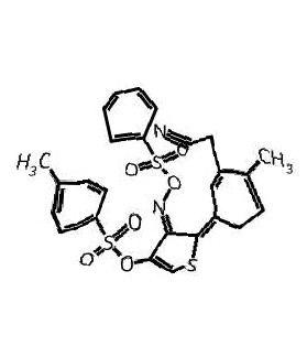 CC1=CCC(=C2SC=C(OS(=O)(=O)c3ccc(C)cc3)C2=NOS(=O)(=O)c2ccccc2)C=C1CC#N